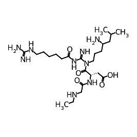 CCNCC(=O)N[C@@H](CC(=O)O)C(=O)N(CCC[C@@H](N)CC(C)C)C(=N)NC(=O)CCCCCNC(=N)N